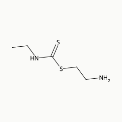 CCNC(=S)SCCN